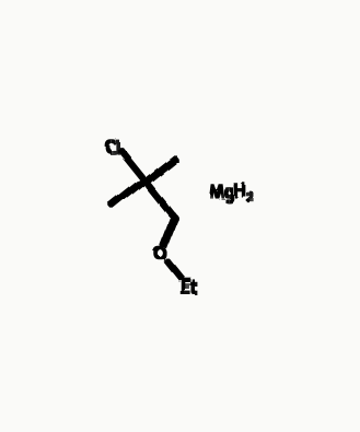 CCOCC(C)(C)Cl.[MgH2]